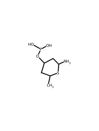 CC1CC(OP(O)O)CC(N)S1